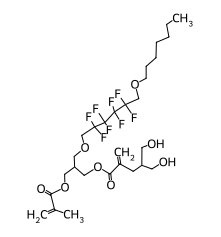 C=C(C)C(=O)OCC(COCC(F)(F)C(F)(F)C(F)(F)C(F)(F)COCCCCCCC)COC(=O)C(=C)CC(CO)CO